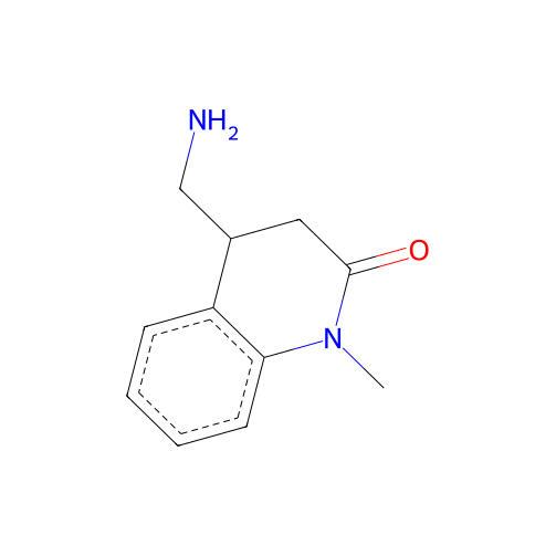 CN1C(=O)CC(CN)c2ccccc21